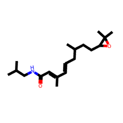 CC(C=CCC(C)CCC1OC1(C)C)=CC(=O)NCC(C)C